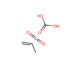 C=CC.O=C(O)O.O=C=O